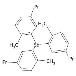 Cc1ccc(C(C)C)c[c]1[Sb]([c]1cc(C(C)C)ccc1C)[c]1cc(C(C)C)ccc1C